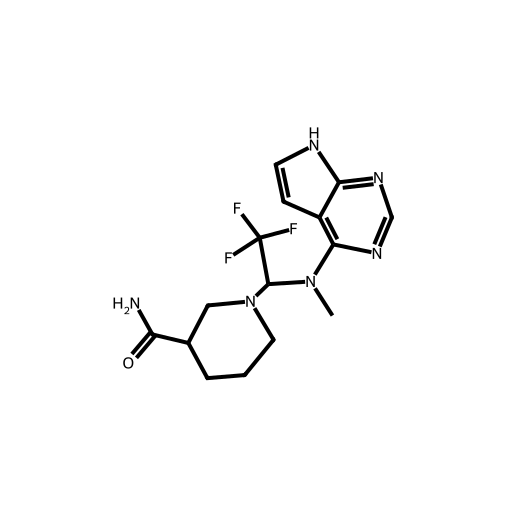 CN(c1ncnc2[nH]ccc12)C(N1CCCC(C(N)=O)C1)C(F)(F)F